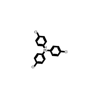 Clc1cc[c]([PbH]([c]2ccc(Cl)cc2)[c]2ccc(Cl)cc2)cc1